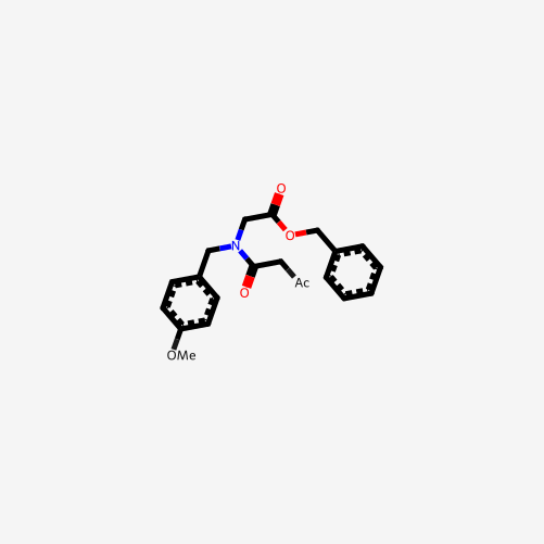 COc1ccc(CN(CC(=O)OCc2ccccc2)C(=O)CC(C)=O)cc1